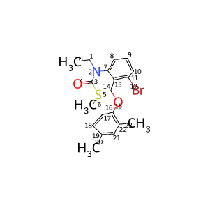 CCN(C(=O)SC)c1cccc(Br)c1COc1ccc(C)cc1C